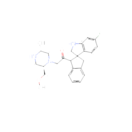 COC[C@H]1CN[C@H](C)CN1CC(=O)C1c2ccccc2CC12CNc1cc(Cl)ccc12